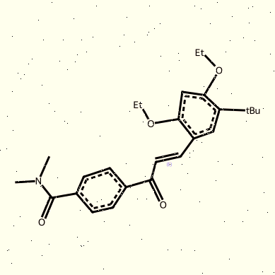 CCOc1cc(OCC)c(C(C)(C)C)cc1/C=C/C(=O)c1ccc(C(=O)N(C)C)cc1